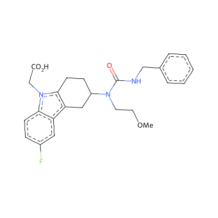 COCCN(C(=O)NCc1ccccc1)C1CCc2c(c3cc(F)ccc3n2CC(=O)O)C1